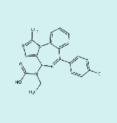 CCN(C(=O)O)C1N=C(c2ccc(Cl)cc2)c2ccccc2-n2c(C)nnc21